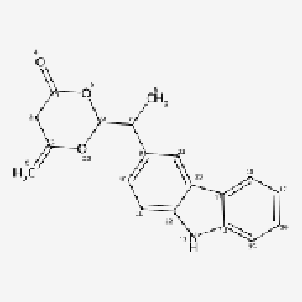 C=C1CC(=O)OC(C(C)c2ccc3[nH]c4ccccc4c3c2)O1